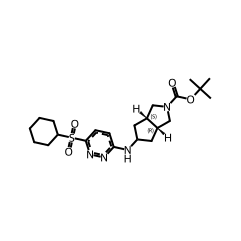 CC(C)(C)OC(=O)N1C[C@H]2CC(Nc3ccc(S(=O)(=O)C4CCCCC4)nn3)C[C@H]2C1